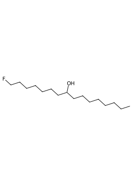 CCCCCCCCC(O)CCCCCCCF